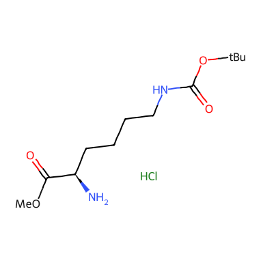 COC(=O)[C@H](N)CCCCNC(=O)OC(C)(C)C.Cl